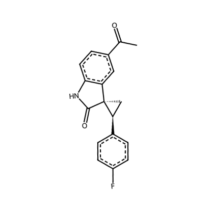 CC(=O)c1ccc2c(c1)[C@]1(C[C@H]1c1ccc(F)cc1)C(=O)N2